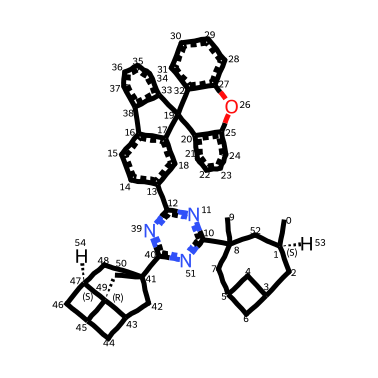 C[C@H]1CC2CC(C2)CC(C)(c2nc(-c3ccc4c(c3)C3(c5ccccc5Oc5ccccc53)c3ccccc3-4)nc(C34CC5CC6C[C@@H](C3)[C@]65C4)n2)C1